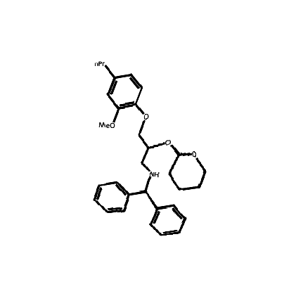 CCCc1ccc(OCC(CNC(c2ccccc2)c2ccccc2)OC2CCCCO2)c(OC)c1